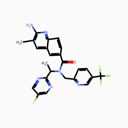 Cc1cc2cc(C(=O)N(Cc3ccc(C(F)(F)F)cn3)C(C)c3ncc(F)cn3)ccc2nc1N